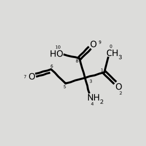 CC(=O)C(N)(CC=O)C(=O)O